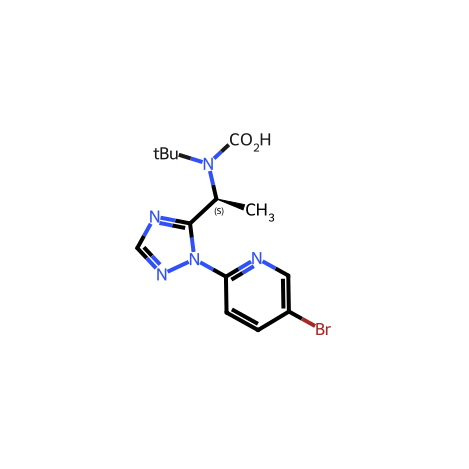 C[C@@H](c1ncnn1-c1ccc(Br)cn1)N(C(=O)O)C(C)(C)C